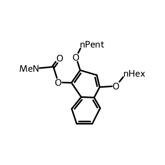 CCCCCCOc1cc(OCCCCC)c(OC(=O)NC)c2ccccc12